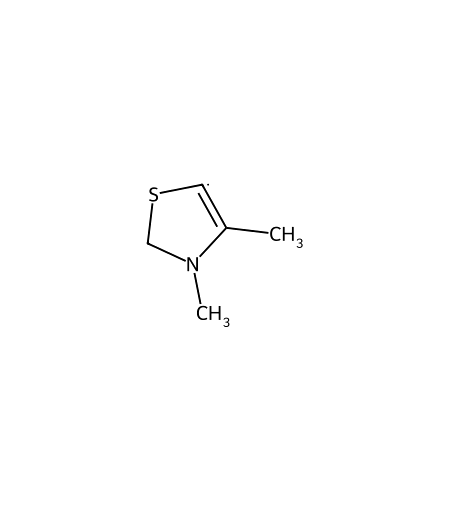 CC1=[C]SCN1C